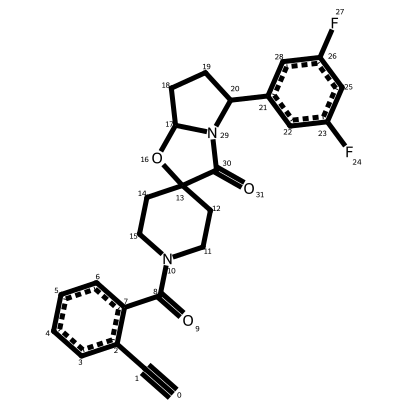 C#Cc1ccccc1C(=O)N1CCC2(CC1)OC1CCC(c3cc(F)cc(F)c3)N1C2=O